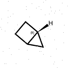 C1C[C@@H]2CC12